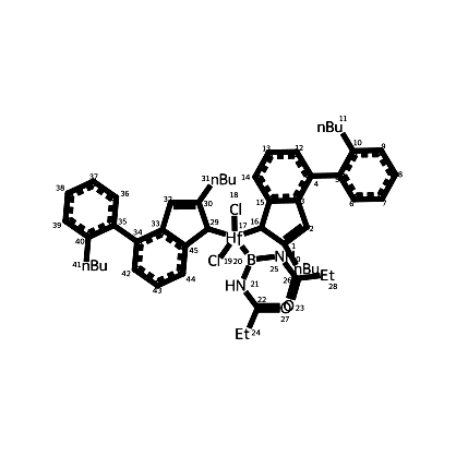 CCCCC1=Cc2c(-c3ccccc3CCCC)cccc2[CH]1[Hf]([Cl])([Cl])([B](NC(=O)CC)NC(=O)CC)[CH]1C(CCCC)=Cc2c(-c3ccccc3CCCC)cccc21